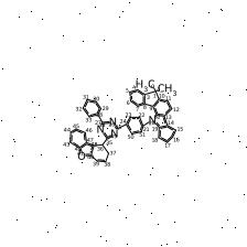 CC1(C)c2ccccc2-c2c1ccc1c3ccccc3n(-c3ccc(-c4nc(-c5ccccc5)nc(C5CC=Cc6oc7ccccc7c65)n4)cc3)c21